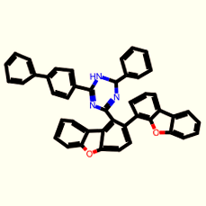 c1ccc(-c2ccc(C3=NC(c4c(-c5cccc6c5oc5ccccc56)ccc5oc6ccccc6c45)=NC(c4ccccc4)N3)cc2)cc1